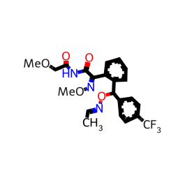 CC=NOC(c1ccc(C(F)(F)F)cc1)c1ccccc1C(=NOC)C(=O)NC(=O)COC